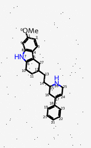 COc1ccc2c3c([nH]c2c1)CCC(CCC1CC(c2ccccc2)=CCN1)C3